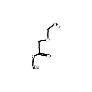 CCCCOC(=O)COCC(F)(F)F